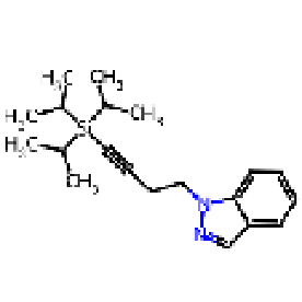 CC(C)[Si](C#CCCn1ncc2ccccc21)(C(C)C)C(C)C